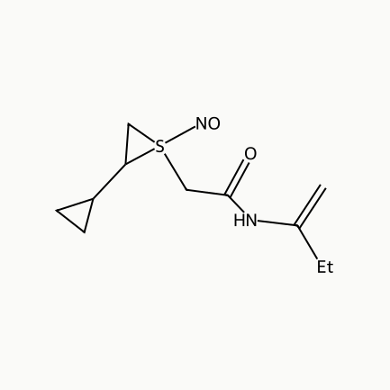 C=C(CC)NC(=O)CS1(N=O)CC1C1CC1